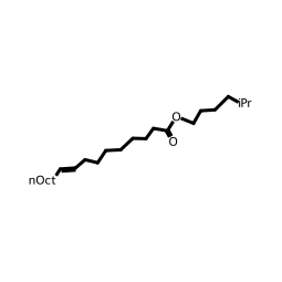 CCCCCCCC/C=C/CCCCCCCC(=O)OCCCCC(C)C